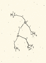 C[CH2][Al]([CH2]C)[CH2][Al]([CH2]C)[CH2]C